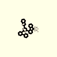 CC1(C)c2ccccc2-c2c(-c3cc(-c4cc5ccccc5s4)nc(-c4ccccc4-c4ccccc4)n3)cccc21